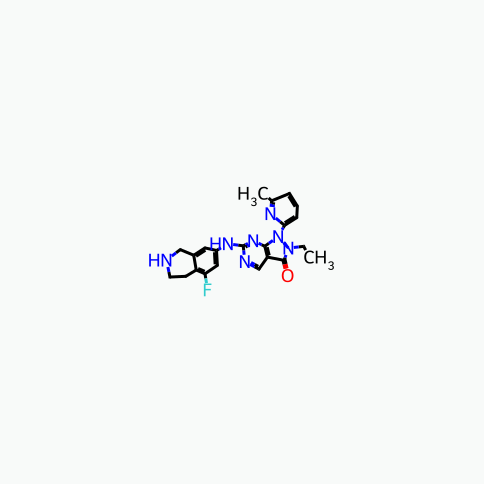 CCn1c(=O)c2cnc(Nc3cc(F)c4c(c3)CNCC4)nc2n1-c1cccc(C)n1